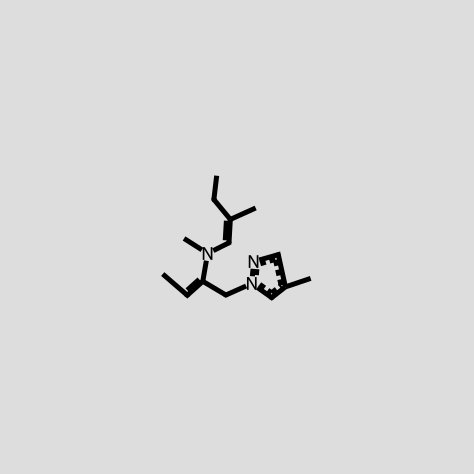 C/C=C(/Cn1cc(C)cn1)N(C)/C=C(/C)CC